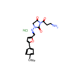 COc1ccc(-c2ccc(/C=N/N3CC(=O)N(C(=O)CCN)C3=O)o2)cc1.Cl